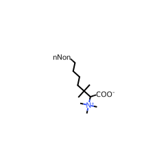 CCCCCCCCCCCCCC(C)(C)C(C(=O)[O-])[N+](C)(C)C